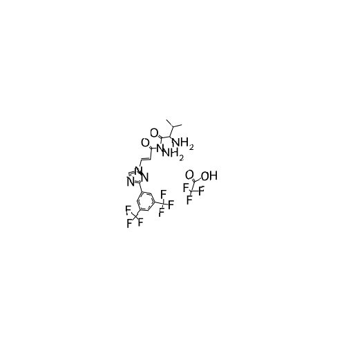 CC(C)C(N)C(=O)N(N)C(=O)C=Cn1cnc(-c2cc(C(F)(F)F)cc(C(F)(F)F)c2)n1.O=C(O)C(F)(F)F